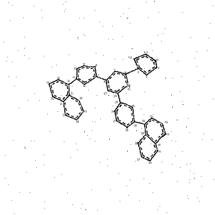 c1ccc(-c2cc(-c3cccc(-c4cccc5ccccc45)c3)cc(-c3cccc(-c4cccc5ccccc45)c3)n2)cc1